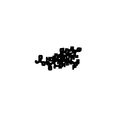 CC(=O)OCC(=O)[C@@]1(O)CC[C@H]2[C@@H]3C[C@H](C(F)F)C4=CC(=O)C=C[C@]4(C)[C@@]3(Cl)[C@@H](Cl)C[C@@]21C